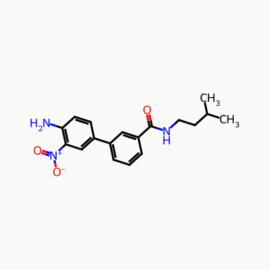 CC(C)CCNC(=O)c1cccc(-c2ccc(N)c([N+](=O)[O-])c2)c1